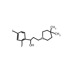 CC1(C)CCN(CCC(O)c2ccc(I)cc2F)CC1